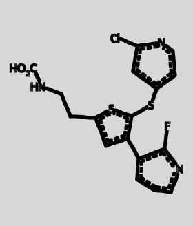 O=C(O)NCCc1cc(-c2cccnc2F)c(Sc2ccnc(Cl)c2)s1